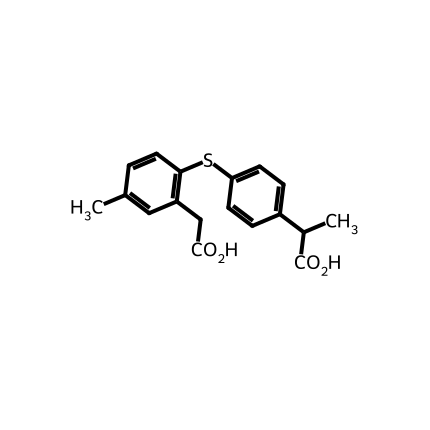 Cc1ccc(Sc2ccc(C(C)C(=O)O)cc2)c(CC(=O)O)c1